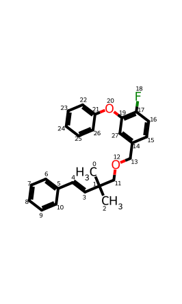 CC(C)(C=Cc1ccccc1)COCc1ccc(F)c(Oc2ccccc2)c1